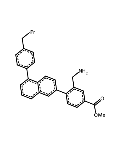 COC(=O)c1ccc(-c2ccc3c(-c4ccc(CC(C)C)cc4)cccc3c2)c(CN)c1